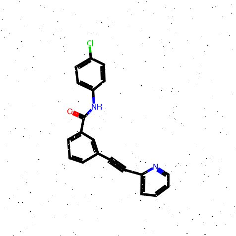 O=C(Nc1ccc(Cl)cc1)c1cccc(C#Cc2ccccn2)c1